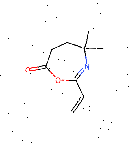 C=CC1=NC(C)(C)CCC(=O)O1